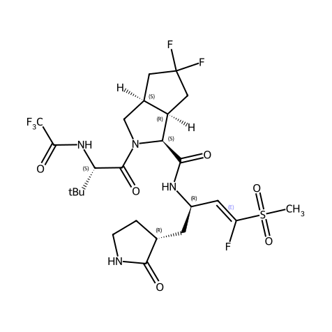 CC(C)(C)[C@H](NC(=O)C(F)(F)F)C(=O)N1C[C@H]2CC(F)(F)C[C@H]2[C@H]1C(=O)N[C@@H](/C=C(\F)S(C)(=O)=O)C[C@H]1CCNC1=O